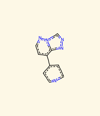 c1cc(-c2ccnn3cnnc23)ccn1